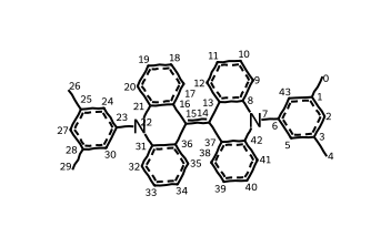 Cc1cc(C)cc(N2c3ccccc3C(=C3c4ccccc4N(c4cc(C)cc(C)c4)c4ccccc43)c3ccccc32)c1